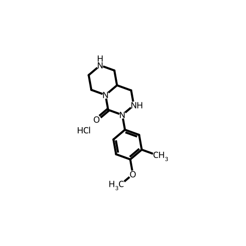 COc1ccc(N2NCC3CNCCN3C2=O)cc1C.Cl